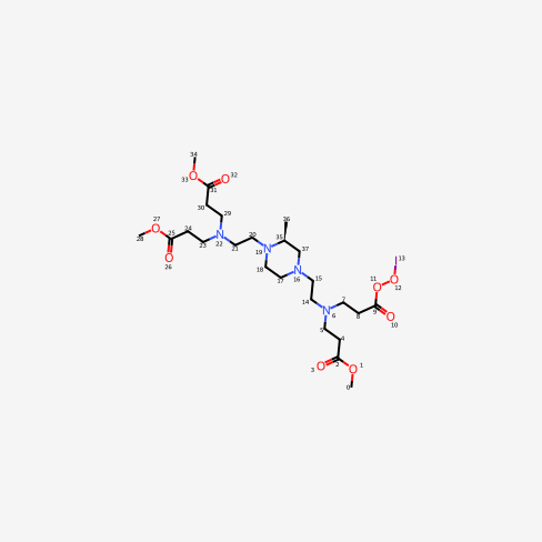 COC(=O)CCN(CCC(=O)OOI)CCN1CCN(CCN(CCC(=O)OC)CCC(=O)OC)[C@@H](C)C1